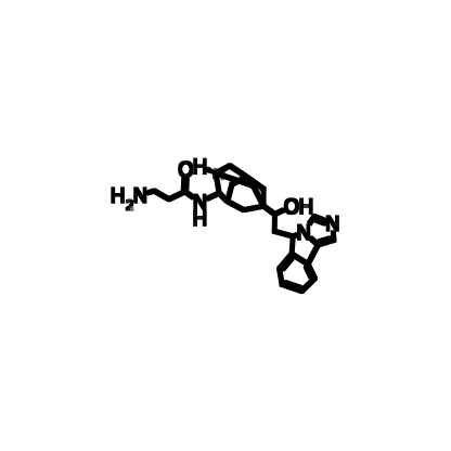 NCCC(=O)NC1C2CC3C[C@@H]1CC(C(O)CC1c4ccccc4-c4cncn41)(C3)C2